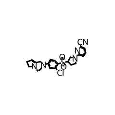 N#Cc1cccc(N2CCC(S(=O)(=O)c3ccc(N4CCN5CCC=C5C4)cc3Cl)C2)n1